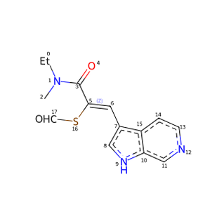 CCN(C)C(=O)/C(=C/c1c[nH]c2cnccc12)SC=O